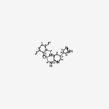 Fc1ccc(F)c(CN2CCNc3ncc(-c4cn[nH]c4)cc32)c1Cl